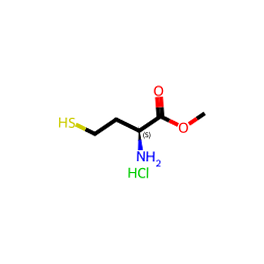 COC(=O)[C@@H](N)CCS.Cl